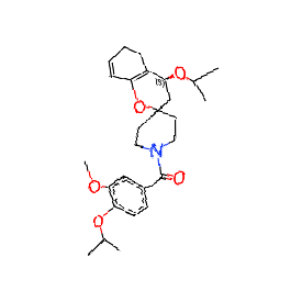 COc1cc(C(=O)N2CCC3(CC2)C[C@H](OC(C)C)C2=C(C=CCC2)O3)ccc1OC(C)C